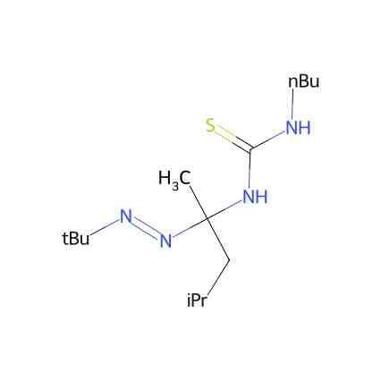 CCCCNC(=S)NC(C)(CC(C)C)N=NC(C)(C)C